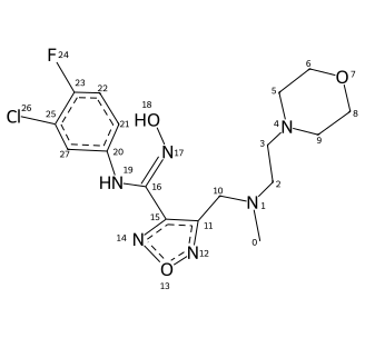 CN(CCN1CCOCC1)Cc1nonc1C(=NO)Nc1ccc(F)c(Cl)c1